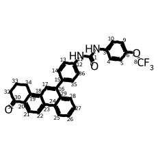 O=C(Nc1ccc(OC(F)(F)F)cc1)Nc1ccc(-c2cc3c4c(ccc3c3ccccc23)C(=O)CCC4)cc1